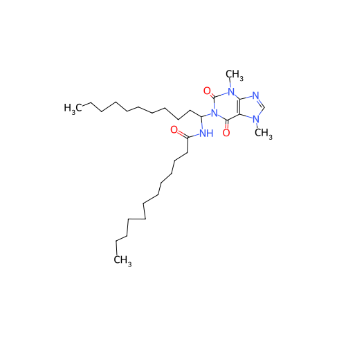 CCCCCCCCCCCC(=O)NC(CCCCCCCCCC)n1c(=O)c2c(ncn2C)n(C)c1=O